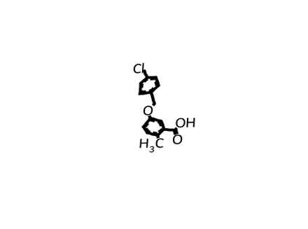 Cc1ccc(OCc2ccc(Cl)cc2)cc1C(=O)O